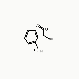 C=CCN.I.O.O=S(=O)(O)c1ccccc1